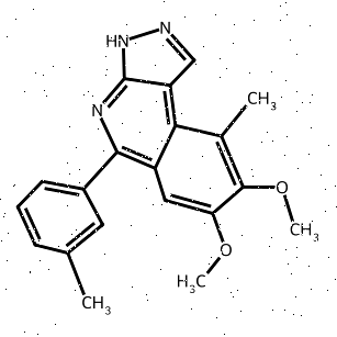 COc1cc2c(-c3cccc(C)c3)nc3[nH]ncc3c2c(C)c1OC